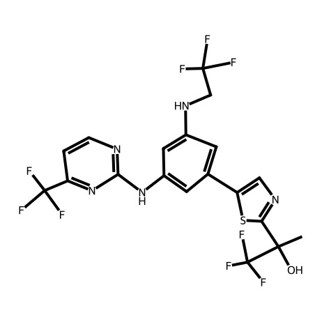 CC(O)(c1ncc(-c2cc(NCC(F)(F)F)cc(Nc3nccc(C(F)(F)F)n3)c2)s1)C(F)(F)F